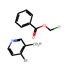 CCc1ccncc1C(=O)O.O=C(OCCl)c1ccccc1